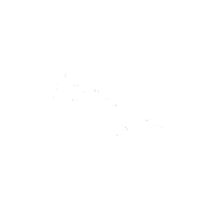 Cl.O=C(CN1CCC(N2C(=O)OCc3cc(Cl)ccc32)CC1)Nc1ccc2c(c1)-c1ccccc1C2O